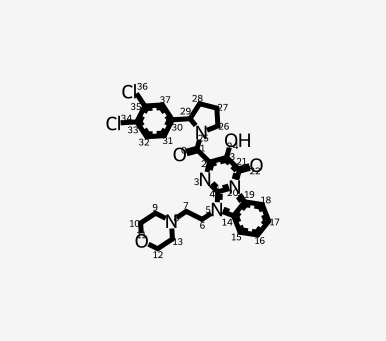 O=C(c1nc2n(CCN3CCOCC3)c3ccccc3n2c(=O)c1O)N1CCCC1c1ccc(Cl)c(Cl)c1